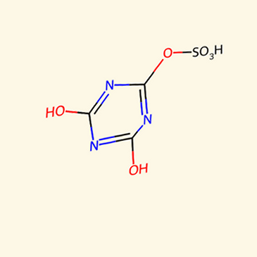 O=S(=O)(O)Oc1nc(O)nc(O)n1